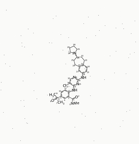 CNC(=O)c1cc(P(C)(C)=O)ccc1Nc1nc(Nc2ccc3c(c2)CC[C@@H](N2CCCC2)CC3)ncc1Cl